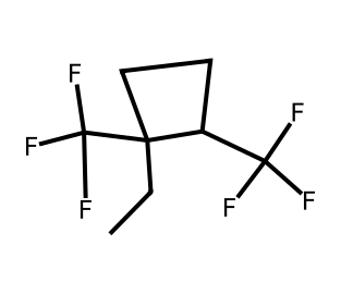 CCC1(C(F)(F)F)CCC1C(F)(F)F